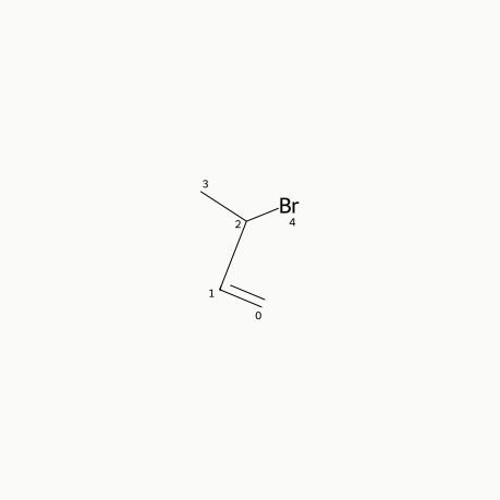 C=CC(C)Br